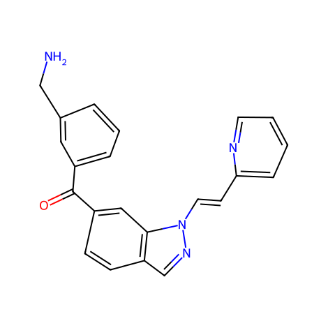 NCc1cccc(C(=O)c2ccc3cnn(C=Cc4ccccn4)c3c2)c1